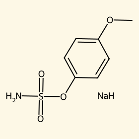 COc1ccc(OS(N)(=O)=O)cc1.[NaH]